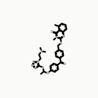 Cc1cccc2nc(SCc3ccc(C(=O)c4ccc(OC(C)Sc5nnnn5CCN(C)C)cc4)cc3)n(C)c(=O)c12